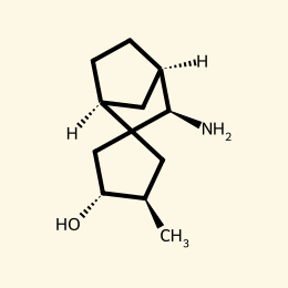 C[C@@H]1CC2(C[C@H]1O)[C@H]1CC[C@H](C1)[C@H]2N